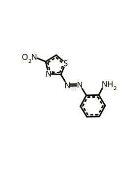 Nc1ccccc1/N=N/c1nc([N+](=O)[O-])cs1